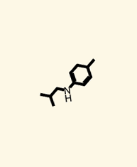 CC(C)CNC1=CCC(C)C=C1